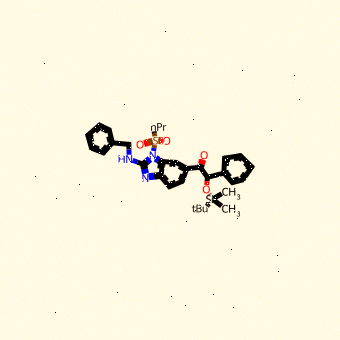 CCCS(=O)(=O)n1c(NCc2ccccc2)nc2ccc(C(=O)C(O[Si](C)(C)C(C)(C)C)c3ccccc3)cc21